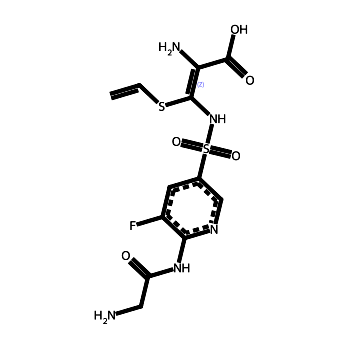 C=CS/C(NS(=O)(=O)c1cnc(NC(=O)CN)c(F)c1)=C(\N)C(=O)O